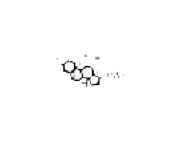 COC[C@]12CCC(O)CC1CC[C@@H]1[C@H]2CC[C@]2(C)C(OC)CC[C@@H]12